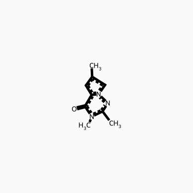 Cc1cc2c(=O)n(C)c(C)nn2c1